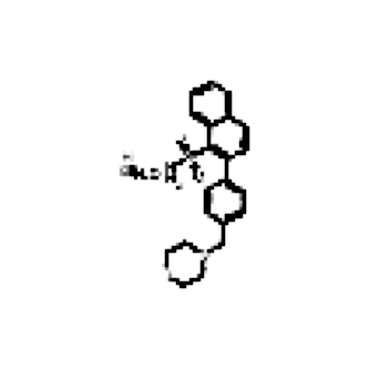 Cl.Cl.NS(=O)(=O)c1c(-c2ccc(CN3CCOCC3)cc2)ccc2ccccc12.O